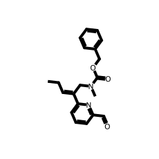 CC/C=C(\CN(C)C(=O)OCc1ccccc1)c1cccc(C=O)n1